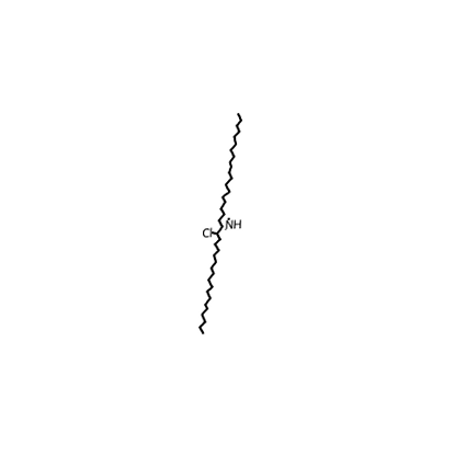 CCCCCCCCCCCCCCCCCCCCC(Cl)CCCCCCCCCCCCCCCCC.CNC